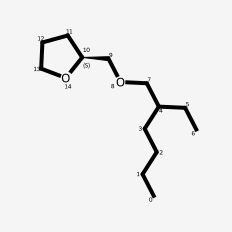 CCCCC(CC)COC[C@@H]1CCCO1